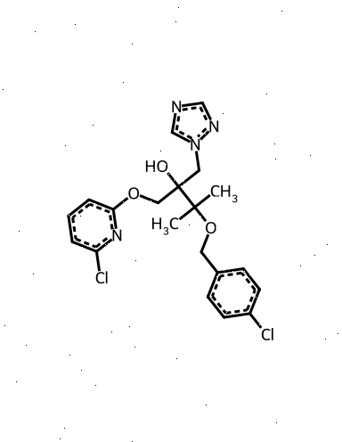 CC(C)(OCc1ccc(Cl)cc1)C(O)(COc1cccc(Cl)n1)Cn1cncn1